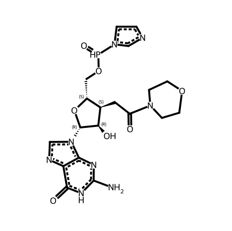 Nc1nc2c(ncn2[C@@H]2O[C@H](CO[PH](=O)n3ccnc3)[C@@H](CC(=O)N3CCOCC3)[C@H]2O)c(=O)[nH]1